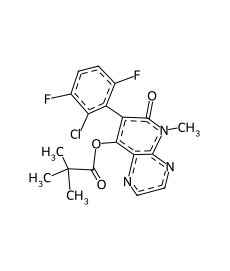 Cn1c(=O)c(-c2c(F)ccc(F)c2Cl)c(OC(=O)C(C)(C)C)c2nccnc21